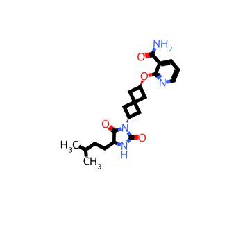 CC(C)CCC1NC(=O)N([C@H]2CC3(C[C@H](Oc4ncccc4C(N)=O)C3)C2)C1=O